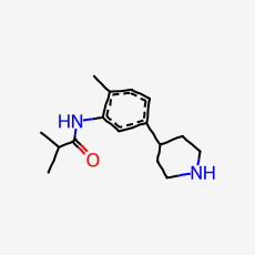 Cc1ccc(C2CCNCC2)cc1NC(=O)C(C)C